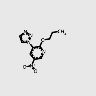 CCCOc1ncc([N+](=O)[O-])cc1-n1ccnn1